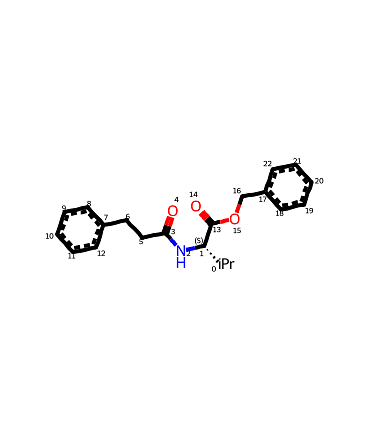 CC(C)[C@H](NC(=O)CCc1ccccc1)C(=O)OCc1ccccc1